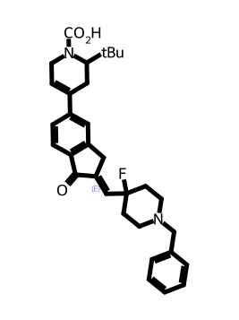 CC(C)(C)C1CC(c2ccc3c(c2)C/C(=C\C2(F)CCN(Cc4ccccc4)CC2)C3=O)=CCN1C(=O)O